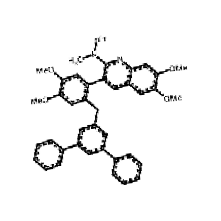 CCCN(C)c1nc2cc(OC)c(OC)cc2cc1-c1cc(OC)c(OC)cc1Cc1cc(-c2ccccc2)cc(-c2ccccc2)c1